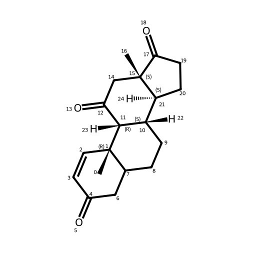 C[C@]12C=CC(=O)CC1CC[C@@H]1[C@H]2C(=O)C[C@]2(C)C(=O)CC[C@@H]12